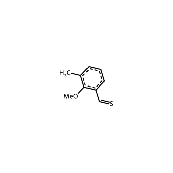 COc1c(C)cccc1C=S